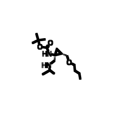 CCCCOC[C@H]1C[C@]1(CNC(C)C)NC(=O)OC(C)(C)C